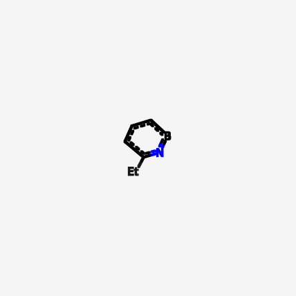 CCc1cccbn1